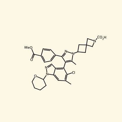 COC(=O)c1ccc(-c2nn(C3CC4(C3)CN(C(=O)O)C4)c(C)c2-c2c(Cl)c(C)cc3c2cnn3C2CCCCO2)cc1